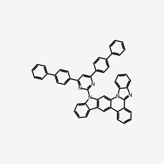 c1ccc(-c2ccc(-c3cc(-c4ccc(-c5ccccc5)cc4)nc(-n4c5ccccc5c5cc6c7ccccc7c7nc8ccccc8n7c6cc54)n3)cc2)cc1